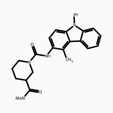 CNC(=O)C1CCCN(C(=O)Nc2ccc3c(c2C)c2ccccc2n3C(C)C)C1